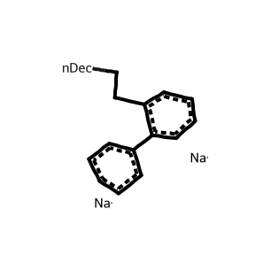 CCCCCCCCCCCCc1ccccc1-c1ccccc1.[Na].[Na]